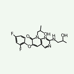 CC(O)CNc1ncc2cc(Oc3ccc(F)cc3F)c(=O)n(CC(C)O)c2n1